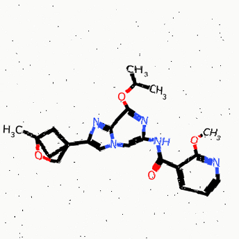 COc1ncccc1C(=O)Nc1cn2cc(C34COC(C)(C3)C4)nc2c(OC(C)C)n1